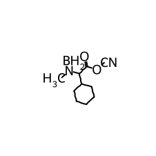 BN(C)C(C(=O)OC#N)C1CCCCC1